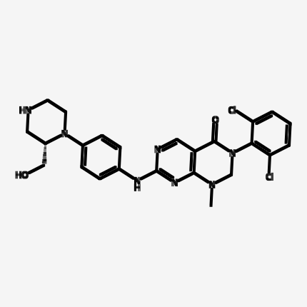 CN1CN(c2c(Cl)cccc2Cl)C(=O)c2cnc(Nc3ccc(N4CCNC[C@H]4CO)cc3)nc21